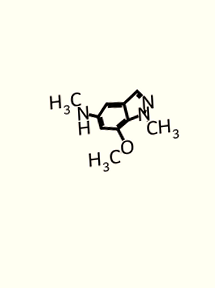 CNc1cc(OC)c2c(cnn2C)c1